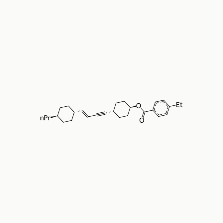 CCC[C@H]1CC[C@H](C=CC#C[C@H]2CC[C@H](OC(=O)c3ccc(CC)cc3)CC2)CC1